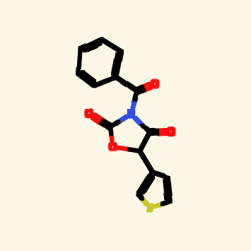 O=C1OC(c2ccsc2)C(=O)N1C(=O)c1ccccc1